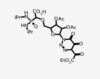 CCOC(=O)C(=O)C1N=NN(C2OC(COC(C(=O)O)P(=O)(NC(C)C)NC(C)C)C(OC(C)=O)C2OC(C)=O)C(=O)C1=O